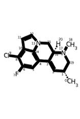 C[C@@H]1C=C2c3cc(F)c(Cl)c4ccn(c34)C[C@H]2N(C)C1